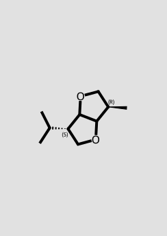 CC(C)[C@H]1COC2C1OC[C@H]2C